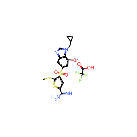 CSc1sc(C(=N)N)cc1S(=O)(=O)c1cc(Br)c2c(c1)ncn2CC1CC1.O=C(O)C(F)(F)F